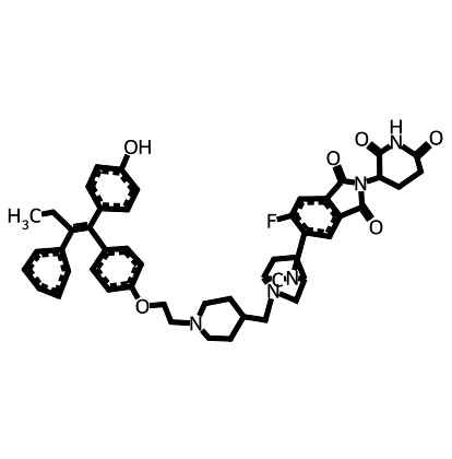 CCC(=C(c1ccc(O)cc1)c1ccc(OCCN2CCC(CN3CC4CCC3CN4c3cc4c(cc3F)C(=O)N(C3CCC(=O)NC3=O)C4=O)CC2)cc1)c1ccccc1